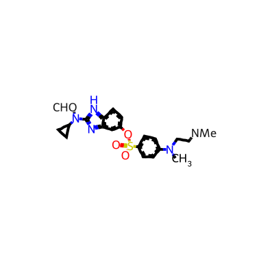 CNCCN(C)c1ccc(S(=O)(=O)Oc2ccc3[nH]c(N(C=O)C4CC4)nc3c2)cc1